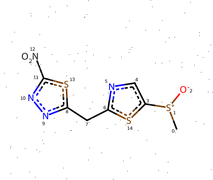 C[S+]([O-])c1cnc(Cc2nnc([N+](=O)[O-])s2)s1